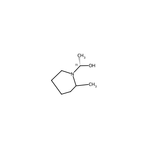 CC1CCCCN1[C@H](C)O